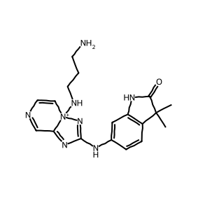 CC1(C)C(=O)Nc2cc(NC3=N[N+]4(NCCCN)C=CN=CC4=N3)ccc21